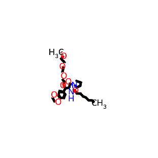 CCCCCCCC(=O)NC(CN1CCCC1)C(OC(=O)COCCOCCOC)c1ccc2c(c1)OCCO2